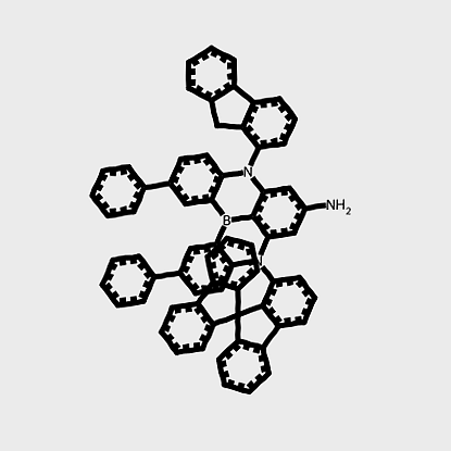 Nc1cc2c3c(c1)N(c1cccc4c1C1(c5ccccc5-c5ccccc51)c1ccccc1-4)c1ccc(-c4ccccc4)cc1B3c1cc(-c3ccccc3)ccc1N2c1cccc2c1Cc1ccccc1-2